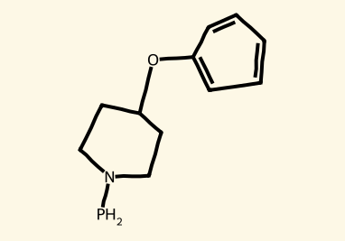 PN1CCC(Oc2ccccc2)CC1